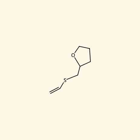 C=CSCC1CCCO1